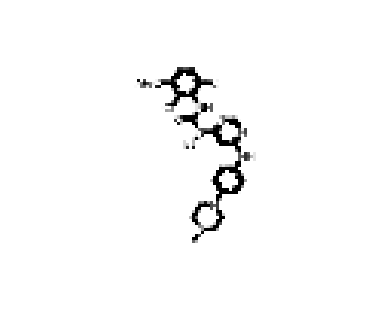 CCN(C(=O)Nc1c(Cl)ccc(OC)c1Cl)c1cc(Nc2ccc(N3CCN(C)CC3)cc2)ncn1